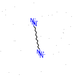 [N-]=[N+]=NCCCCCCCCCCCCN=[N+]=[N-]